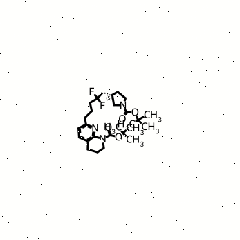 CC(C)(C)OC(=O)N1CC[C@@H](CC(F)(F)CCCc2ccc3c(n2)N(C(=O)OC(C)(C)C)CCC3)C1